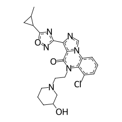 CC1CC1c1nc(-c2ncn3c2c(=O)n(CCN2CCCC(O)C2)c2c(Cl)cccc23)no1